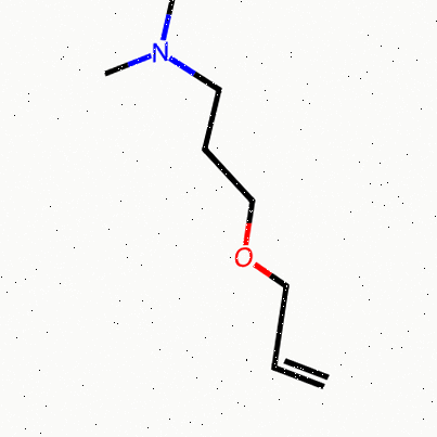 C=CCOCCCN(C)C